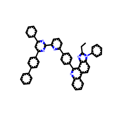 CCc1nc2c3c(-c4ccc(-c5cccc(-c6nc(-c7ccccc7)cc(-c7ccc(-c8ccccc8)cc7)n6)n5)cc4)nc4ccccc4c3ccc2n1-c1ccccc1